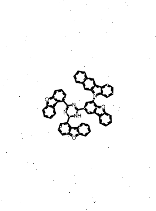 c1ccc2cc3c(cc2c1)c1ccccc1n3-c1cc(C2=NC(c3cccc4oc5ccccc5c34)=NC(c3cccc4oc5ccccc5c34)N2)cc2c1oc1ccccc12